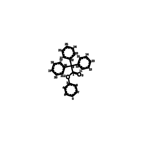 O=C(Oc1ccccc1)C(c1ccccc1)(c1ccccc1)c1ccccc1